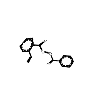 C=Cc1ccccc1C(=O)OOC(=O)c1ccccc1